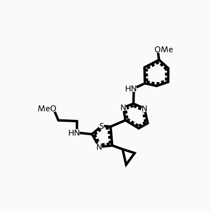 COCCNc1nc(C2CC2)c(-c2ccnc(Nc3cccc(OC)c3)n2)s1